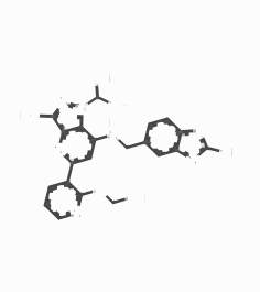 CCOc1ncccc1-c1cc(NCc2ccc3oc(C)nc3c2)c2c(n1)c(C)nn2C(C)C